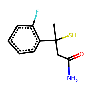 CC(S)(CC(N)=O)c1ccccc1F